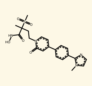 Cn1ccnc1-c1ccc(-c2ccn(CCC(C)(C(=O)NO)S(C)(=O)=O)c(=O)c2)cc1